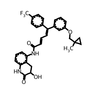 CC1(COc2cccc(/C(=C/C=C/C(=O)Nc3cccc4c3CC(O)C(=O)N4)c3ccc(C(F)(F)F)cc3)c2)CC1